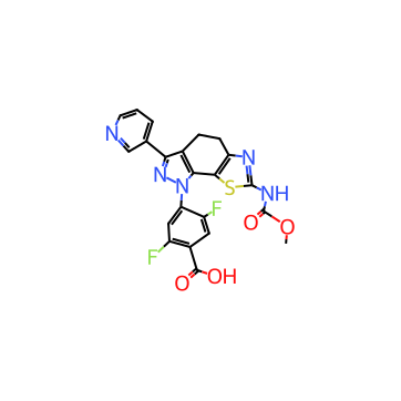 COC(=O)Nc1nc2c(s1)-c1c(c(-c3cccnc3)nn1-c1cc(F)c(C(=O)O)cc1F)CC2